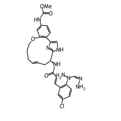 COC(=O)Nc1ccc2c(c1)OCCC/C=C/C[C@H](NC(=O)/C=C/c1cc(Cl)ccc1N(N)/C=N\N)c1nc-2c[nH]1